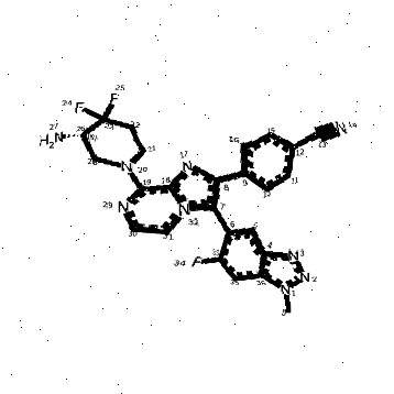 Cn1nnc2cc(-c3c(-c4ccc(C#N)cc4)nc4c(N5CCC(F)(F)[C@@H](N)C5)nccn34)c(F)cc21